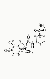 Cn1c(C(=O)NC2CCCN(S(N)(=O)=O)C2)cc2c(Cl)c(Cl)ccc21